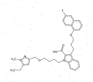 CCc1cc(COCCCCn2c(C(=O)O)c(CCCOc3cccc4cc(F)ccc34)c3ccccc32)nn1C